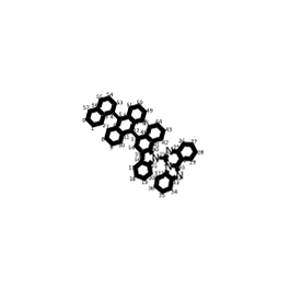 c1ccc2c(-c3c4ccccc4c(-c4cc5c6ccccc6n(-c6nc7ccccc7c7nc8ccccc8n67)c5c5ccccc45)c4ccccc34)cccc2c1